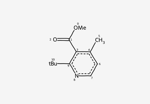 COC(=O)c1c(C)ccnc1C(C)(C)C